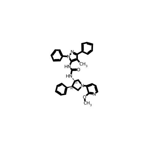 COc1ncccc1N1C[C@@H](NC(=O)Nc2c(C)c(-c3ccccc3)nn2-c2ccccc2)[C@H](c2ccccc2)C1